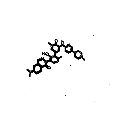 Cc1ccc(-n2ncc3cc(N(C)C)ccc3c2=O)c(O)c1-c1cc(Nc2ccc(N3CCN(C)CC3)cn2)c(=O)n(C)c1